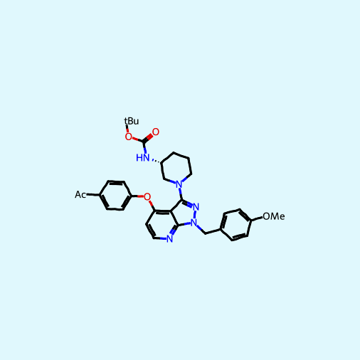 COc1ccc(Cn2nc(N3CCC[C@@H](NC(=O)OC(C)(C)C)C3)c3c(Oc4ccc(C(C)=O)cc4)ccnc32)cc1